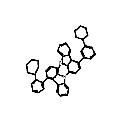 C1=C(c2cccc(C3CCCCC3)c2)C2c3ccccc3N3c4ccc(-c5ccccc5C5CCCCC5)c5c6ccccc6n(c45)C(=C1)C23